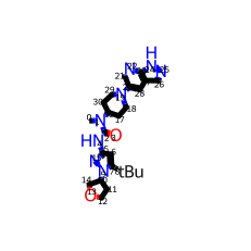 CN(C(=O)Nc1cc(C(C)(C)C)n(C2CCOC2)n1)C1CCN(c2cnc3[nH]ncc3c2)CC1